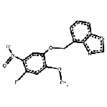 COc1cc(F)c([N+](=O)[O-])cc1OCc1cccc2scnc12